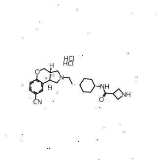 Cl.Cl.N#Cc1ccc2c(c1)[C@@H]1CN(CC[C@H]3CC[C@H](NC(=O)C4CNC4)CC3)C[C@H]1CO2